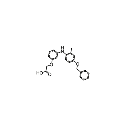 Cc1cc(OCc2ccccc2)ccc1Nc1cccc(OCC(=O)O)c1